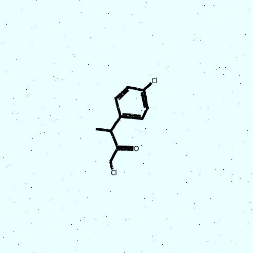 CC(C(=O)CCl)c1ccc(Cl)cc1